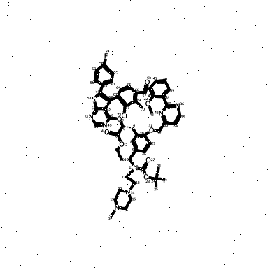 CCOC(=O)[C@@H](Cc1cc(CN(CCN2CCN(C)CC2)C(=O)OC(C)(C)C)ccc1OCc1ccnc(-c2ccccc2OC)n1)Oc1ncnc2sc(-c3ccc(F)cc3)c(-c3ccc(C=O)c(C)c3Cl)c12